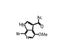 COc1cnc(Br)c2[nH]cc(C(=O)C(C)=O)c12